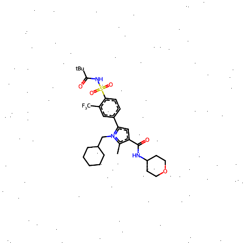 Cc1c(C(=O)NC2CCOCC2)cc(-c2ccc(S(=O)(=O)NC(=O)C(C)(C)C)c(C(F)(F)F)c2)n1CC1CCCCC1